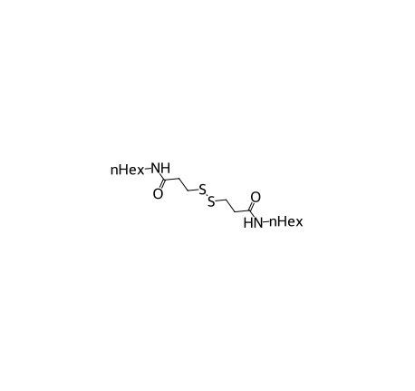 CCCCCCNC(=O)CCSSCCC(=O)NCCCCCC